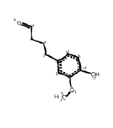 COc1cc(CCCC=O)ccc1O